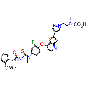 COc1ccccc1CC(=O)NC(=S)Nc1ccc(Oc2ccnc3cc(-c4cnn(CCN(C)C(=O)O)c4)sc23)c(F)c1